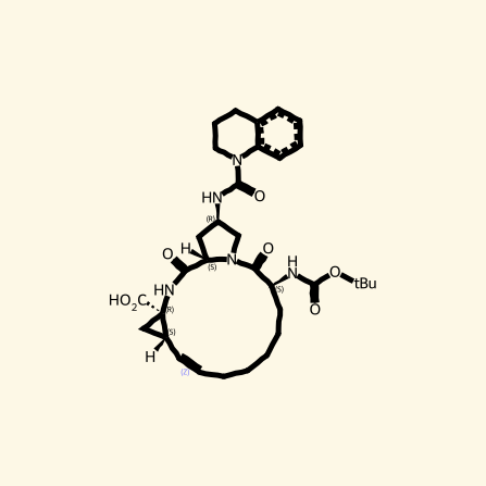 CC(C)(C)OC(=O)N[C@H]1CCCCC/C=C\[C@@H]2C[C@@]2(C(=O)O)NC(=O)[C@@H]2C[C@@H](NC(=O)N3CCCc4ccccc43)CN2C1=O